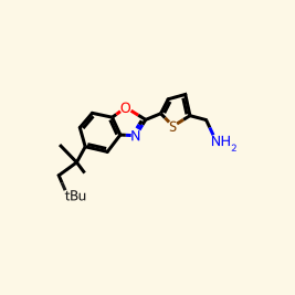 CC(C)(C)CC(C)(C)c1ccc2oc(-c3ccc(CN)s3)nc2c1